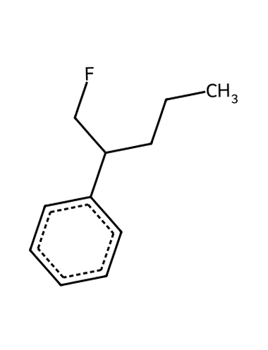 CCCC(CF)c1ccccc1